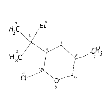 CCC(C)(C)C1CC(C)COC1Cl